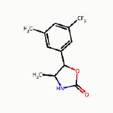 CC1NC(=O)OC1c1cc(C(F)(F)F)cc(C(F)(F)F)c1